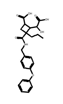 CCCC1(C(=O)NCc2ccc(Oc3ccccc3)cc2)CC(C(=O)O)C1C(O)C(=O)O